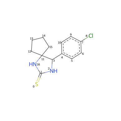 S=C1NC(c2ccc(Cl)cc2)C2(CCCC2)N1